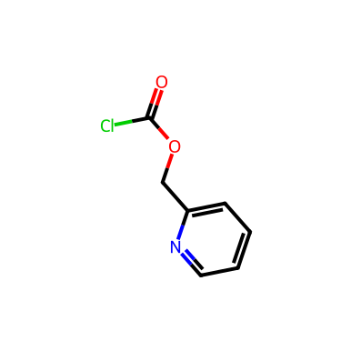 O=C(Cl)OCc1ccccn1